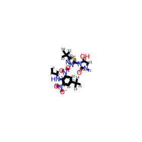 CCC(C)Nc1c([N+](=O)[O-])cc(C(C)(C)C)cc1[N+](=O)[O-].CN1CC(O)N(c2nnc(C(C)(C)C)s2)C1=O